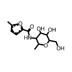 Cc1ccc(C(=O)NC2C(C)OC(CO)C(O)C2O)o1